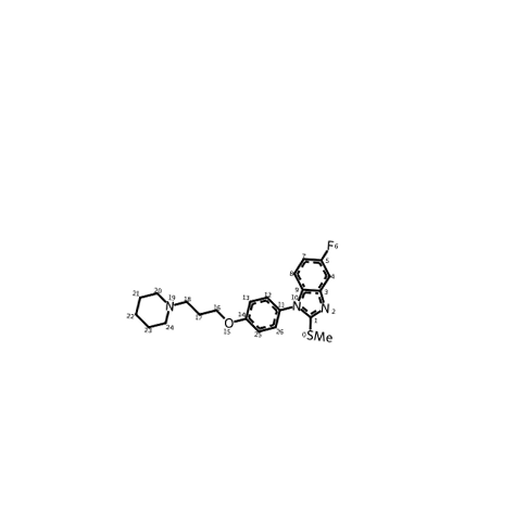 CSc1nc2cc(F)ccc2n1-c1ccc(OCCCN2CCCCC2)cc1